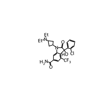 CCN(CC)C1CC(N2C(=O)C(O)(c3ccccc3Cl)c3c2cc(C(N)=O)cc3C(F)(F)F)C1